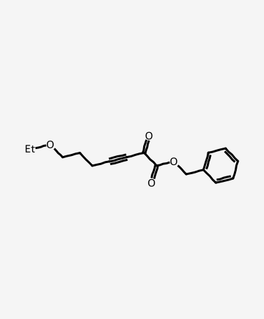 CCOCCCC#CC(=O)C(=O)OCc1ccccc1